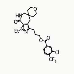 CCn1nc(CCCOC(=O)c2ccc(C(F)(F)F)c(Cl)c2)c2c1C(=O)NCC1(CCOCC1)C2